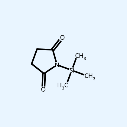 C[Si](C)(C)N1C(=O)CCC1=O